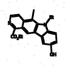 CCOC(=O)c1nccc2c(C)c3c(cc12)c1cc(O)ccc1n3CC